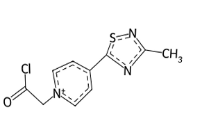 Cc1nsc(-c2cc[n+](CC(=O)Cl)cc2)n1